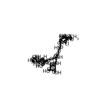 COc1cc2c(cc1-c1cccc(NC(=O)CCC(=O)NCCOCCOCC(=O)N[C@H](CCCCNC(=O)CN3CCN(CC(=O)O)CCN(CC(=O)O)CCN(CC(=O)O)CC3)C(=O)NCCOCCOCC(=O)N[C@@H](Cc3ccc(O)cc3)C(=O)N3CCC[C@H]3C(=O)N[C@@H](CO)C(=O)N[C@@H](Cc3c[nH]cn3)C(=O)N[C@@H](CS)C(=O)O)c1)-c1c(c(C(=O)N3CCOCC3(C)C)nn1-c1cc(Cl)cc(Cl)c1)CO2